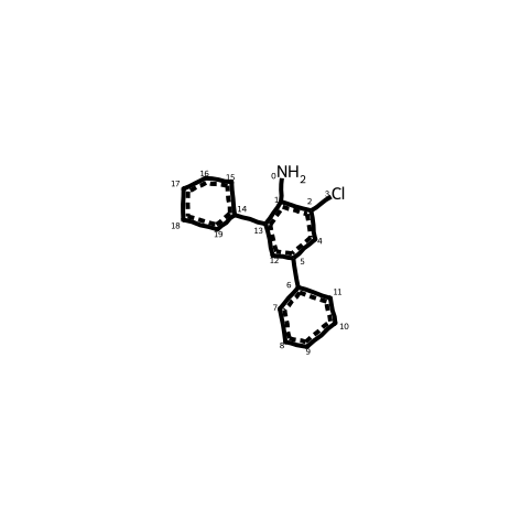 Nc1c(Cl)cc(-c2ccccc2)cc1-c1ccccc1